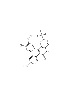 COc1cc(-c2c(-c3ccc(N)cc3)c(=O)[nH]c3ccc(C(F)(F)F)cc23)ccc1Cl